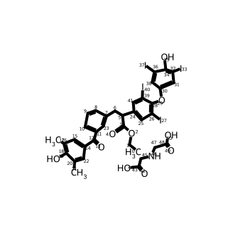 CCOC(=O)C(Cc1cccc(C(=O)c2cc(C)c(O)c(C)c2)c1)c1cc(I)c(Oc2cc(I)c(O)c(I)c2)c(I)c1.O=C(O)CNCC(=O)O